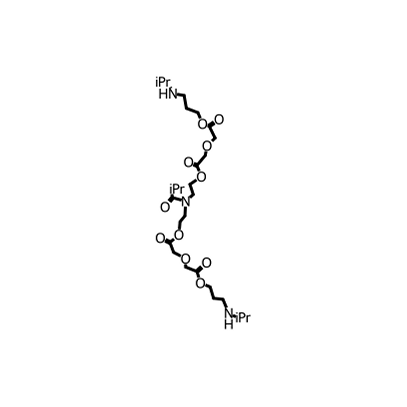 CC(C)NCCCOC(=O)COCC(=O)OCCN(CCOC(=O)COCC(=O)OCCCNC(C)C)C(=O)C(C)C